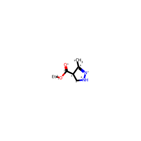 CCOC(=O)C1CNN=C1C